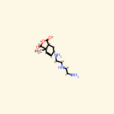 CC12C=CCCC1C(=O)OC2=O.NCCNCCN